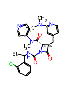 CCC(NC(=O)N1C(=O)[C@H](Cc2ccnc(N(C)C)c2)[C@H]1C(=O)N(C)c1ccncc1)c1ccccc1Cl